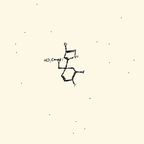 O=C(O)NCC1(c2cc(Br)c[nH]2)C=CC(F)=C(F)C1